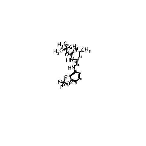 CCC[C@@H](CNc1cccc(OC(F)(F)F)c1)NC(=O)OC(C)(C)C